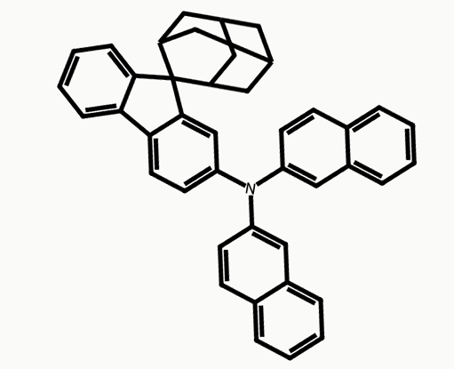 c1ccc2c(c1)-c1ccc(N(c3ccc4ccccc4c3)c3ccc4ccccc4c3)cc1C21C2CC3CC(C2)CC1C3